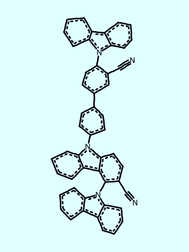 N#Cc1cc(-c2ccc(-n3c4ccccc4c4c(-n5c6ccccc6c6ccccc65)c(C#N)ccc43)cc2)ccc1-n1c2ccccc2c2ccccc21